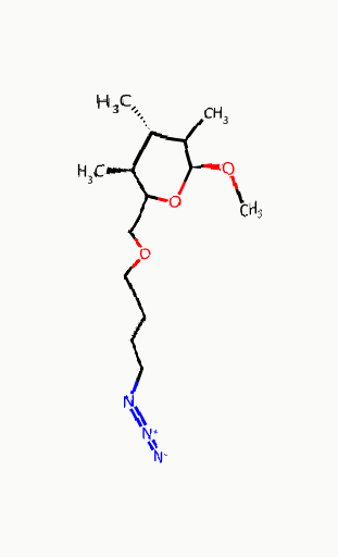 CO[C@H]1OC(COCCCCN=[N+]=[N-])[C@@H](C)[C@H](C)C1C